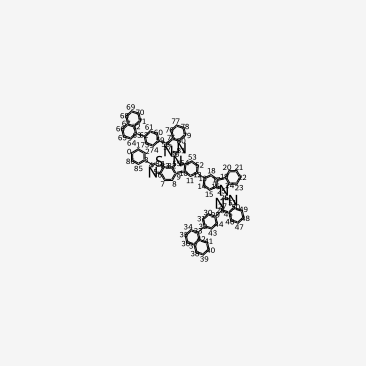 c1ccc(-c2nc3ccc4c5cc(-c6ccc7c(c6)c6ccccc6n7-c6nc(-c7ccc(-c8cccc9ccccc89)cc7)c7ccccc7n6)ccc5n(-c5nc(-c6ccc(-c7cccc8ccccc78)cc6)c6ccccc6n5)c4c3s2)cc1